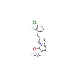 O=C(O)c1ccc2ccc(Cc3cccc(Cl)c3F)cn2c1=O